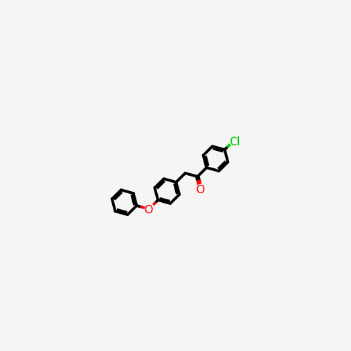 O=C(Cc1ccc(Oc2ccccc2)cc1)c1ccc(Cl)cc1